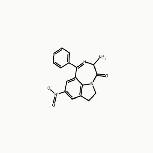 NC1N=C(c2ccccc2)c2cc([N+](=O)[O-])cc3c2N(CC3)C1=O